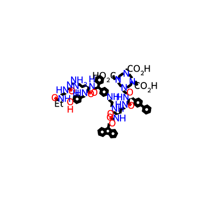 CCC(=O)NCCNC(=O)/N=C(/N)NCCC[C@@H](NC(=O)C(c1ccccc1)c1ccc(NCCCNC(=O)[C@@H](CCCNC(=O)[C@@H](Cc2ccc(-c3ccccc3)cc2)NC(=O)CN2CCN(CC(=O)O)CCN(CC(=O)O)CCN(CC(=O)O)CC2)NC(=O)OCC2c3ccccc3-c3ccccc32)cc1)C(=O)NCc1ccc(O)cc1